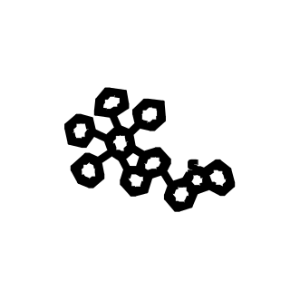 c1ccc(-c2c(-c3ccccc3)c(-c3ccccc3)c3c(c2-c2ccccc2)-c2cccc4c(-c5cccc6c5sc5ccccc56)ccc-3c24)cc1